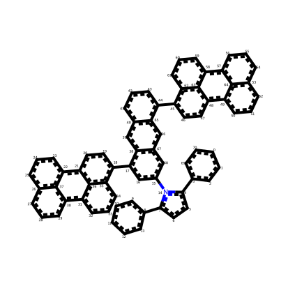 c1ccc(-c2ccc(-c3ccccc3)n2-c2cc(-c3ccc4c5cccc6cccc(c7cccc3c74)c65)c3cc4cccc(-c5ccc6c7cccc8cccc(c9cccc5c96)c87)c4cc3c2)cc1